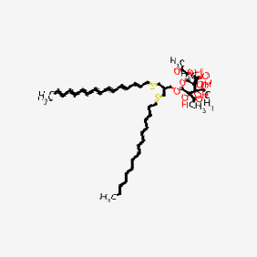 CCCCCCCCCCCCCCCCSCC(CO[C@H]1O[C@H](C(O)C(C)=O)[C@@](O)(C(C)=O)[C@@](O)(C(C)=O)[C@]1(O)C(C)=O)CSCCCCCCCCCCCCCCCC